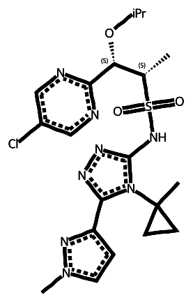 CC(C)O[C@@H](c1ncc(Cl)cn1)[C@H](C)S(=O)(=O)Nc1nnc(-c2ccn(C)n2)n1C1(C)CC1